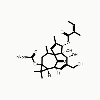 C/C=C(/C)C(=O)O[C@H]1C(C)=CC23C(=O)[C@@H](C=C(CO)[C@@H](O)[C@]12O)[C@@H]1C(C)(C)[C@]1(OC(=O)CCCCCCCCC)CC3C